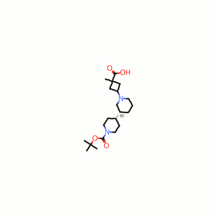 CC(C)(C)OC(=O)N1CCC([C@H]2CCCN(C3CC(C)(C(=O)O)C3)C2)CC1